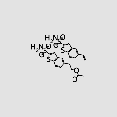 C=Cc1ccc2sc(S(N)(=O)=O)cc2c1.CC(=O)OCCc1ccc2sc(S(N)(=O)=O)cc2c1